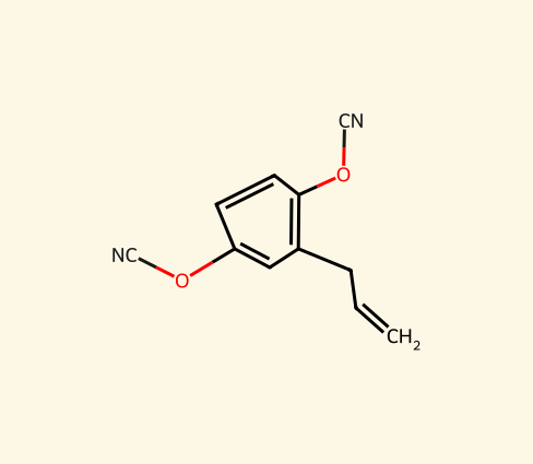 C=CCc1cc(OC#N)ccc1OC#N